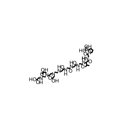 CC(C)C(NC(=O)CNC(=O)CNC(=O)CNC(=O)CNCCN(CCN(CCNCC(=O)O)CC(=O)O)CC(=O)O)C(=O)NCC(=O)N1CCC[C@H]1B(O)O